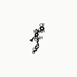 O=C(/C=C/CN1CC2CC(=O)OC2C1)Nc1cc2c(Nc3ccc(F)c(Cl)c3)ncnc2cc1OCC1CC1